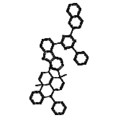 CC1C=CC2(C)C3=C1C(C)(c1ccc4c(c1)oc1cccc(-c5nc(-c6ccccc6)nc(-c6ccc7ccccc7c6)n5)c14)C=CC3(C)N(c1ccccc1)c1ccccc12